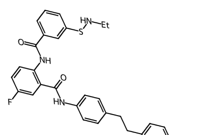 CCNSc1cccc(C(=O)Nc2ccc(F)cc2C(=O)Nc2ccc(CCc3ccc(C(=O)O)cc3)cc2)c1